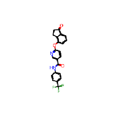 O=C(Nc1ccc(C(F)(F)F)cc1)c1ccc(Oc2cccc3c2CCC3=O)nc1